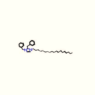 CCCCCCCCCCCCCCCCCCCN1C=CN(Cc2ccccc2)C1Cc1ccccc1